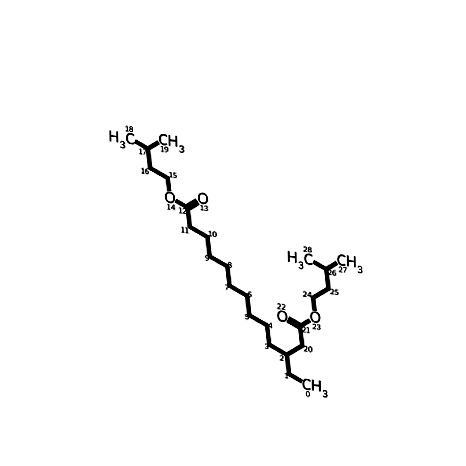 CCC(CCCCCCCCCC(=O)OCCC(C)C)CC(=O)OCCC(C)C